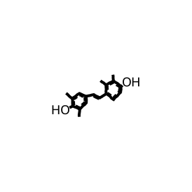 Cc1cc(C=Cc2ccc(O)c(C)c2C)cc(C)c1O